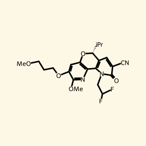 COCCCOc1cc2c(nc1OC)-c1c(cc(C#N)c(=O)n1CC(F)F)[C@@H](C(C)C)O2